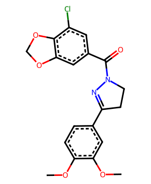 COc1ccc(C2=NN(C(=O)c3cc(Cl)c4c(c3)OCO4)CC2)cc1OC